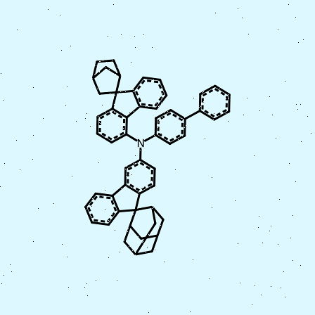 c1ccc(-c2ccc(N(c3ccc4c(c3)-c3ccccc3C43C4CC5CC(C4)CC3C5)c3cccc4c3-c3ccccc3C43CC4CCC3C4)cc2)cc1